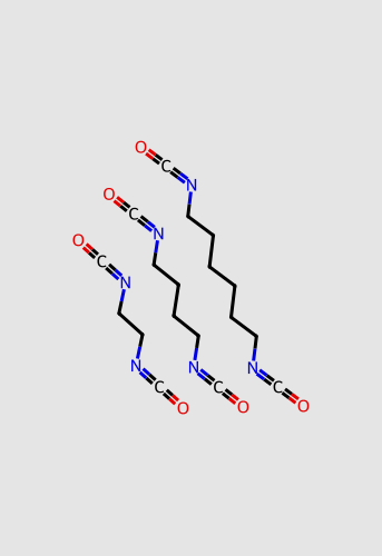 O=C=NCCCCCCN=C=O.O=C=NCCCCN=C=O.O=C=NCCN=C=O